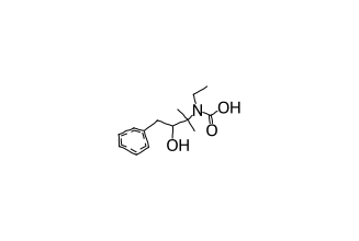 CCN(C(=O)O)C(C)(C)C(O)Cc1ccccc1